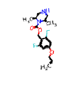 C=CCOc1cc(F)c(COC(=O)N2C(C)CNCC2C)c(F)c1